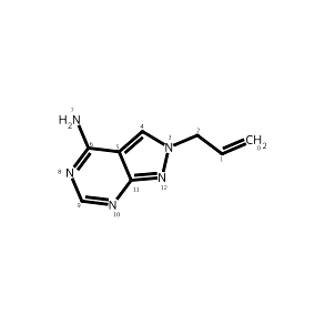 C=CCn1cc2c(N)ncnc2n1